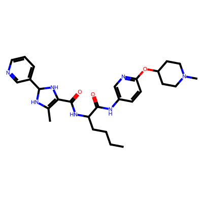 CCCCC(NC(=O)C1=C(C)NC(c2cccnc2)N1)C(=O)Nc1ccc(OC2CCN(C)CC2)nc1